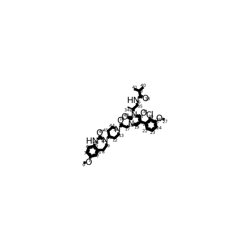 COc1ccc2c(c1)CCN(C1CCN(C(=O)Cn3cc(-c4cccc(OC)c4Cl)c(=O)n([C@@H](C)CNC(=O)C(C)C)c3=O)CC1)C(=O)N2